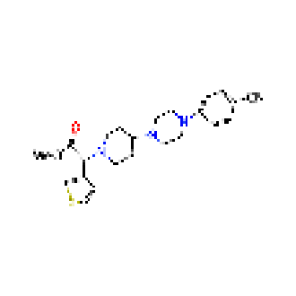 COC(=O)C(c1ccsc1)N1CCC(N2CCN(c3ccc(C#N)cc3)CC2)CC1